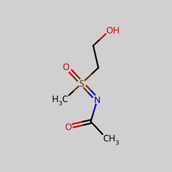 CC(=O)N=S(C)(=O)CCO